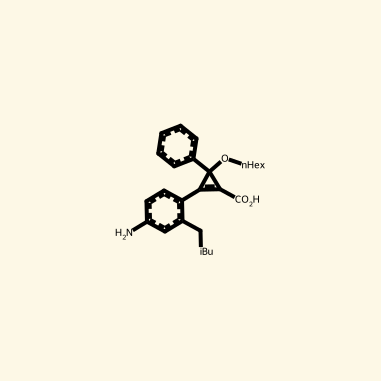 CCCCCCOC1(c2ccccc2)C(C(=O)O)=C1c1ccc(N)cc1CC(C)CC